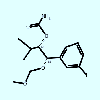 COCO[C@@H](c1cccc(I)c1)[C@@H](OC(N)=O)C(C)C